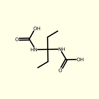 CCC(CC)(NC(=O)O)NC(=O)O